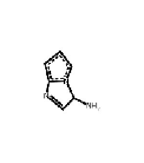 NC1C=Nc2cccn21